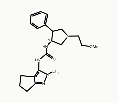 COCCN1CC(c2ccccc2)[C@H](NC(=O)Nc2c3c(nn2C)CCC3)C1